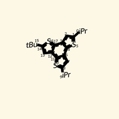 CC(C)c1cc2c(s1)c1cc(C(C)C)sc1c1cc(C(C)(C)C)sc21